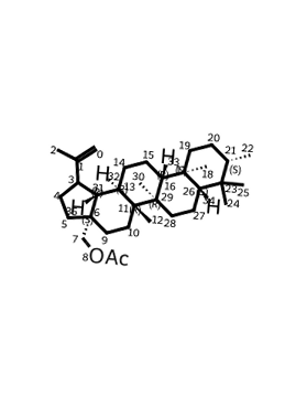 C=C(C)C1CC[C@]2(COC(C)=O)CC[C@]3(C)[C@H](CC[C@@H]4[C@@]5(C)CC[C@H](C)C(C)(C)[C@@H]5CC[C@]43C)[C@@H]12